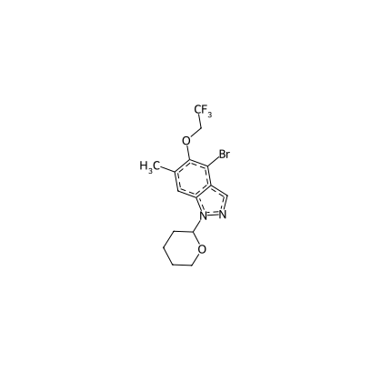 Cc1cc2c(cnn2C2CCCCO2)c(Br)c1OCC(F)(F)F